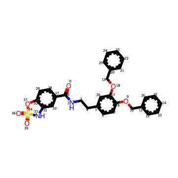 O=C(NCCc1ccc(OCc2ccccc2)c(OCc2ccccc2)c1)c1ccc2c(c1)NS(=O)(=O)O2